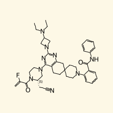 C=C(F)C(=O)N1CCN(c2nc(N3CC(N(CC)CC)C3)nc3c2CCC2(CCN(c4ccccc4C(=O)Nc4ccccc4)CC2)C3)C[C@@H]1CC#N